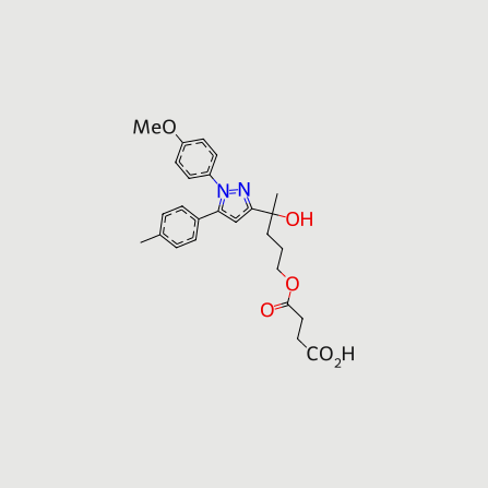 COc1ccc(-n2nc(C(C)(O)CCCOC(=O)CCC(=O)O)cc2-c2ccc(C)cc2)cc1